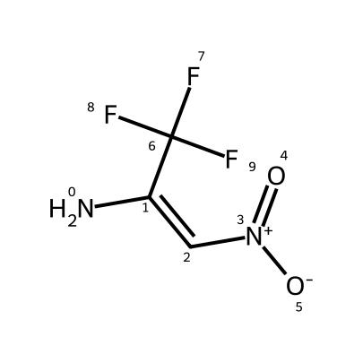 N/C(=C/[N+](=O)[O-])C(F)(F)F